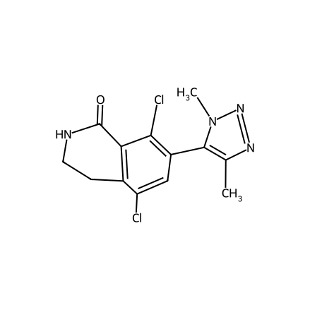 Cc1nnn(C)c1-c1cc(Cl)c2c(c1Cl)C(=O)NCC2